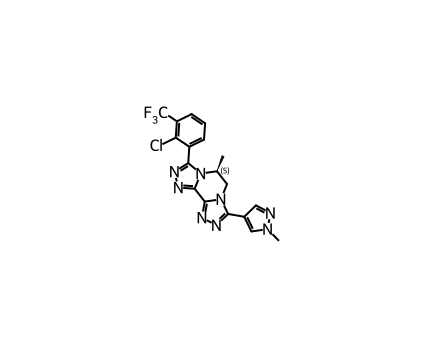 C[C@H]1Cn2c(-c3cnn(C)c3)nnc2-c2nnc(-c3cccc(C(F)(F)F)c3Cl)n21